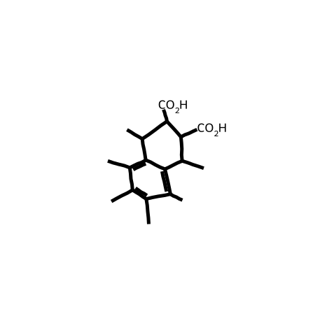 Cc1c(C)c(C)c2c(c1C)C(C)C(C(=O)O)C(C(=O)O)C2C